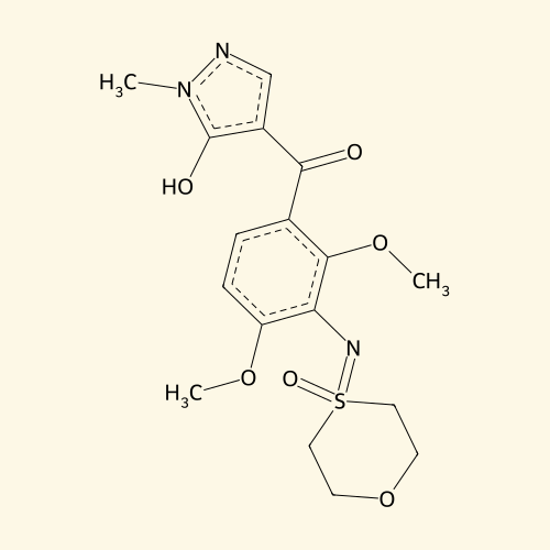 COc1ccc(C(=O)c2cnn(C)c2O)c(OC)c1N=S1(=O)CCOCC1